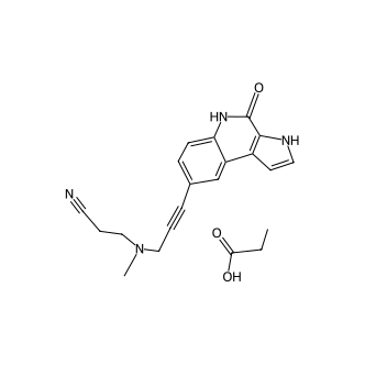 CCC(=O)O.CN(CC#Cc1ccc2[nH]c(=O)c3[nH]ccc3c2c1)CCC#N